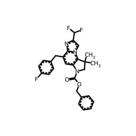 CC1(C)CN(C(=O)OCc2ccccc2)c2cc(Cc3ccc(F)cc3)c3nc(C(F)F)cn3c21